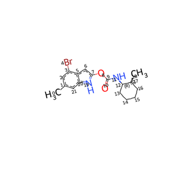 Cc1cc(Br)c2cc(OC(=O)N[C@@H]3CCCC[C@@H]3C)[nH]c2c1